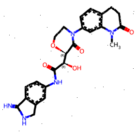 CN1C(=O)CCc2ccc(N3CCO[C@H]([C@@H](O)C(=O)Nc4ccc5c(c4)CNC5=N)C3=O)cc21